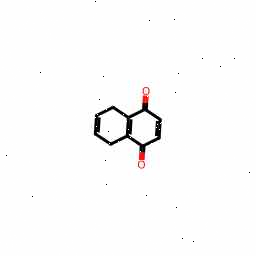 O=C1C=CC(=O)C2=C1CC=CC2